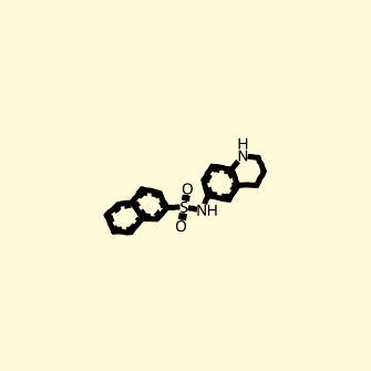 O=S(=O)(Nc1ccc2c(c1)CCCN2)c1ccc2ccccc2c1